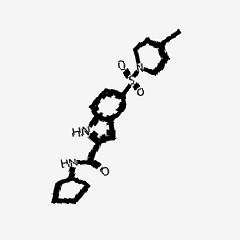 CC1CCN(S(=O)(=O)c2ccc3[nH]c(C(=O)NC4CCCC4)cc3c2)CC1